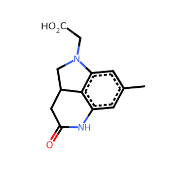 Cc1cc2c3c(c1)N(CC(=O)O)CC3CC(=O)N2